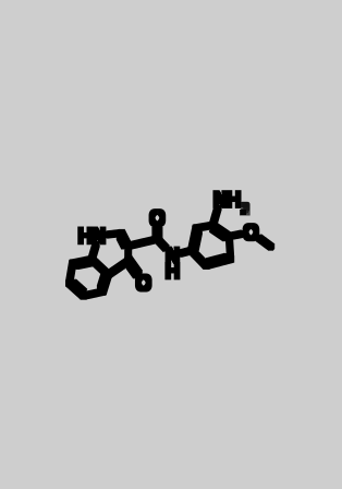 COc1ccc(NC(=O)c2c[nH]c3ccccc3c2=O)cc1N